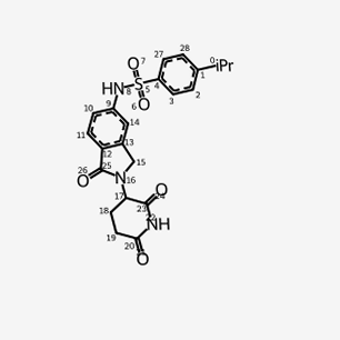 CC(C)c1ccc(S(=O)(=O)Nc2ccc3c(c2)CN(C2CCC(=O)NC2=O)C3=O)cc1